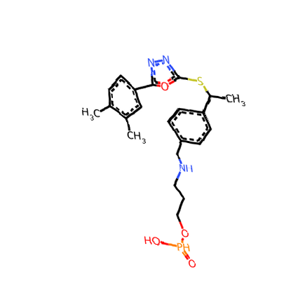 Cc1ccc(-c2nnc(SC(C)c3ccc(CNCCCO[PH](=O)O)cc3)o2)cc1C